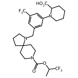 CC(OC(=O)N1CCC2(CCCN2Cc2cc(N3CCCCC3C(=O)O)cc(C(F)(F)F)c2)CC1)C(F)(F)F